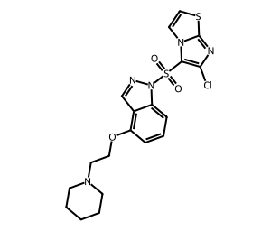 O=S(=O)(c1c(Cl)nc2sccn12)n1ncc2c(OCCN3CCCCC3)cccc21